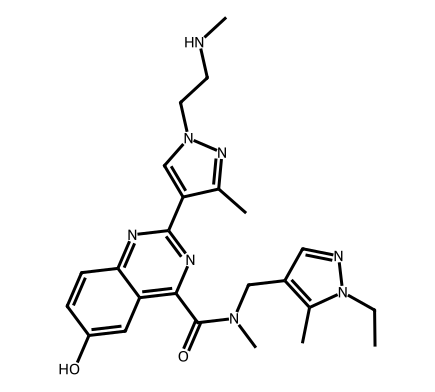 CCn1ncc(CN(C)C(=O)c2nc(-c3cn(CCNC)nc3C)nc3ccc(O)cc23)c1C